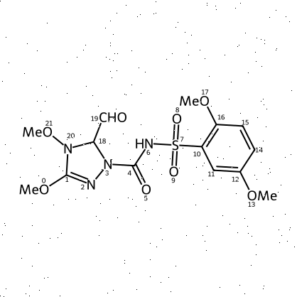 COC1=NN(C(=O)NS(=O)(=O)c2cc(OC)ccc2OC)C(C=O)N1OC